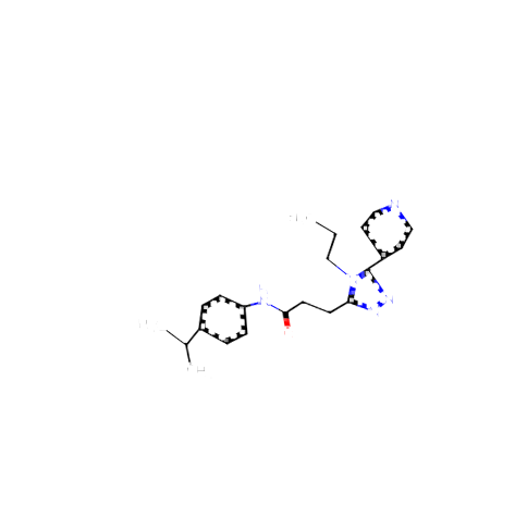 CCCn1c(CCC(=O)Nc2ccc(C(C)C)cc2)nnc1-c1ccncc1